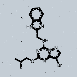 CC(C)COc1nc(NCc2nc3ccccc3[nH]2)n2ncc(Br)c2n1